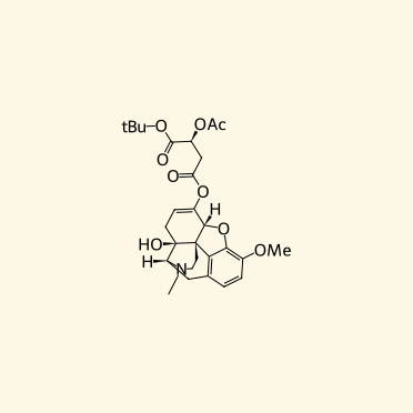 COc1ccc2c3c1O[C@H]1C(OC(=O)C[C@H](OC(C)=O)C(=O)OC(C)(C)C)=CC[C@@]4(O)[C@@H](C2)N(C)CC[C@]314